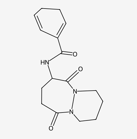 O=C(NC1CCC(=O)N2CCCCN2C1=O)C1=CCCC=C1